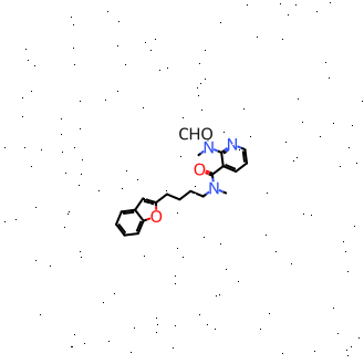 CN(CCCCc1cc2ccccc2o1)C(=O)c1cccnc1N(C)C=O